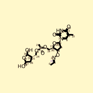 C/C=N/O[C@@H]1C[C@H](n2cc(C)c(=O)[nH]c2=O)O[C@@H]1COP(C)(=O)OC[C@@H]1CC(O)OC1O